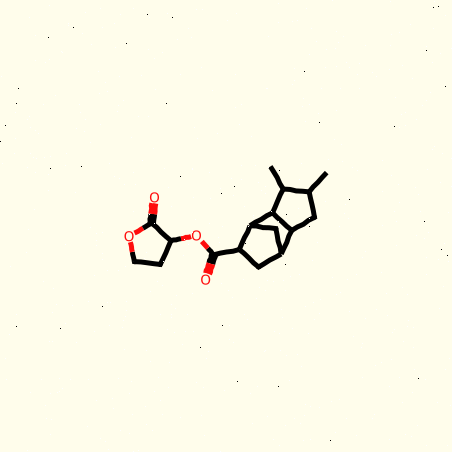 CC1CC2C3CC(C(=O)OC4CCOC4=O)C(C3)C2C1C